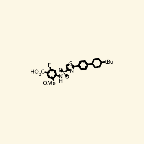 COc1cc(C(=O)O)c(F)cc1NS(=O)(=O)c1csc(-c2ccc(C3CCC(C(C)(C)C)CC3)cc2)n1